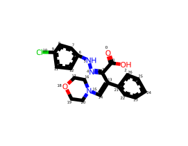 O=C(O)C(=NNc1ccc(Cl)cc1)C(=CN1CCOCC1)c1ccccc1